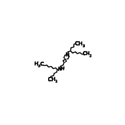 CCCCCCCC(CCCCC)NCCC1CC2(CCN(CC(CCCC)CCCCCC)CC2)C1